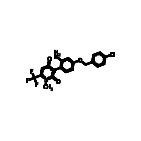 Cn1c(C(F)(F)F)cc(=O)n(-c2ccc(OCc3ccc(Cl)cc3)cc2N)c1=O